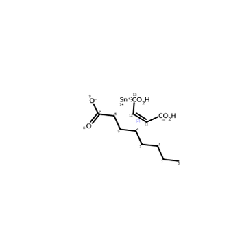 CCCCCCCC(=O)[O-].O=C(O)/C=C\C(=O)O.[Sn+]